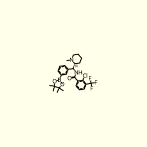 CN1CCCC[C@H]1C(NC(=O)c1cccc(C(F)(F)F)c1Cl)c1cccc(B2OC(C)(C)C(C)(C)O2)c1